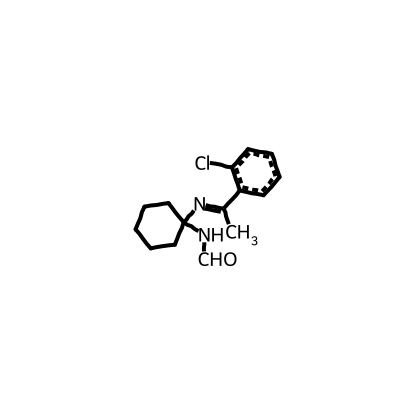 C/C(=N\C1(NC=O)CCCCC1)c1ccccc1Cl